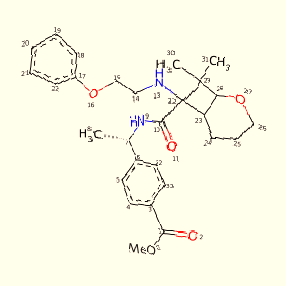 COC(=O)c1ccc([C@H](C)NC(=O)C2(NCCOc3ccccc3)C3CCCOC3C2(C)C)cc1